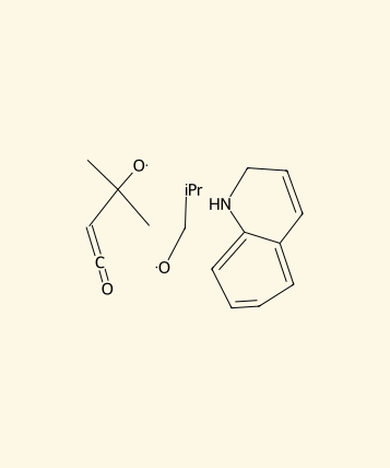 C1=Cc2ccccc2NC1.CC(C)([O])C=C=O.CC(C)C[O]